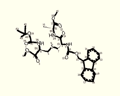 COC(=O)[C@H](CSC[C@@H](NC(=O)OCC1c2ccccc2-c2ccccc21)C(=O)N[C@H](C)C(=O)OC)NC(=O)OC(C)(C)C